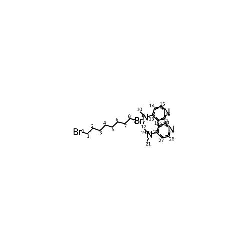 BrCCCCCCCCBr.CN(C)c1ccncc1.CN(C)c1ccncc1